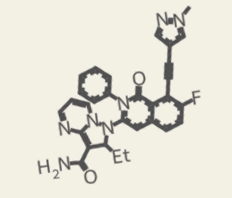 CCC1C(C(N)=O)=C2N=CC=CN2N1c1cc2ccc(F)c(C#Cc3cnn(C)c3)c2c(=O)n1-c1ccccc1